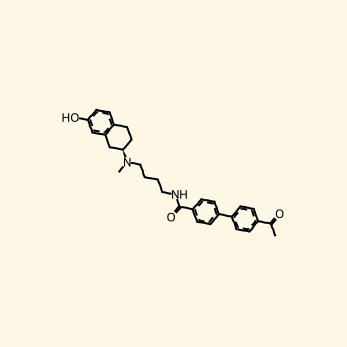 CC(=O)c1ccc(-c2ccc(C(=O)NCCCCN(C)[C@@H]3CCc4ccc(O)cc4C3)cc2)cc1